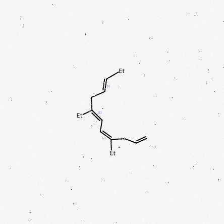 C=CC/C(=C\C=C(/CC)C/C=C/CC)CC